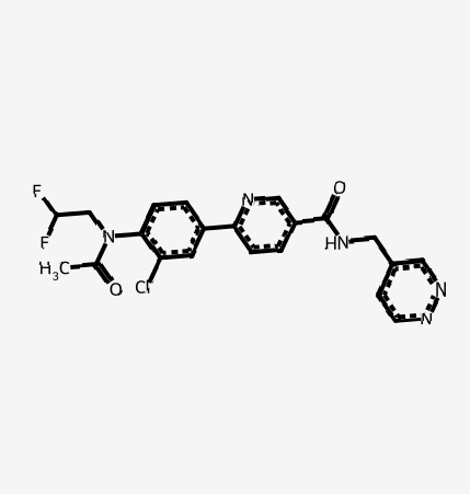 CC(=O)N(CC(F)F)c1ccc(-c2ccc(C(=O)NCc3ccnnc3)cn2)cc1Cl